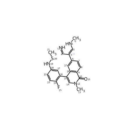 CN/C=C(\C=N)c1ccc2c(=O)n(C)cc(-c3cc(NSC)ccc3F)c2c1